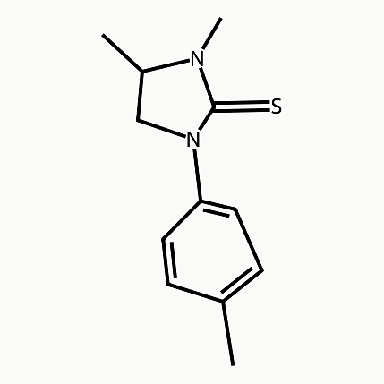 Cc1ccc(N2CC(C)N(C)C2=S)cc1